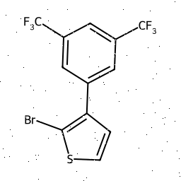 FC(F)(F)c1cc(-c2ccsc2Br)cc(C(F)(F)F)c1